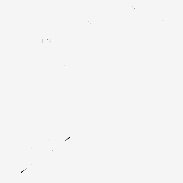 O=C(Cc1ccc(N2C[C@@H]3CC[C@H]2CO3)cc1)N[C@@H]1CCN(c2ccc(C(F)(F)F)nc2)C1